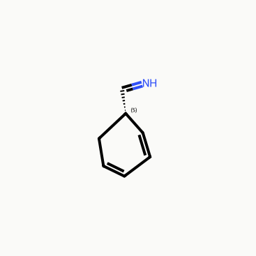 N=C[C@@H]1C=CC=CC1